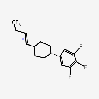 Fc1cc([C@H]2CC[C@H](/C=C/CC(F)(F)F)CC2)cc(F)c1F